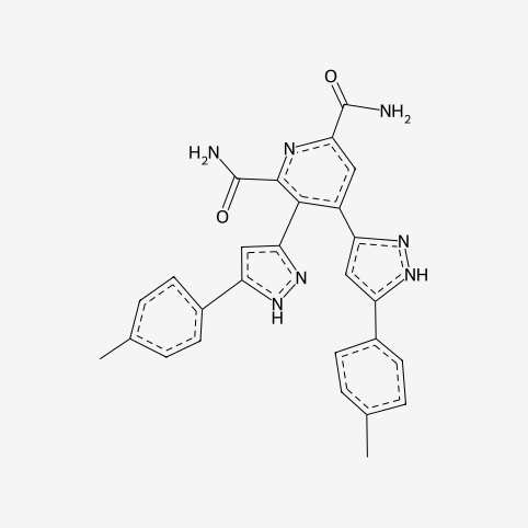 Cc1ccc(-c2cc(-c3cc(C(N)=O)nc(C(N)=O)c3-c3cc(-c4ccc(C)cc4)[nH]n3)n[nH]2)cc1